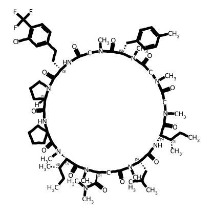 CC[C@H](C)[C@@H]1NC(=O)[C@H](CC(C)C)N(C)C(=O)C[C@@H](C(=O)N(C)C)N(C)C(=O)[C@H]([C@@H](C)CC)N(C)C(=O)C2(CCCC2)NC(=O)[C@@H]2CCCN2C(=O)[C@H](CCc2ccc(C(F)(F)F)c(Cl)c2)NC(=O)CN(C)C(=O)[C@H](Cc2ccc(C)cc2)N(C)C(=O)CN(C)C(=O)CN(C)C1=O